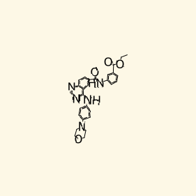 CCOC(=O)c1cccc(NC(=O)c2ccc3ncnc(Nc4ccc(N5CCOCC5)cc4)c3c2)c1